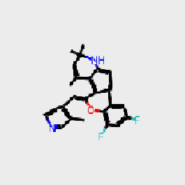 CC1=CC(C)(C)Nc2ccc3c(c21)C(=Cc1ccncc1C)Oc1c(F)cc(F)cc1-3